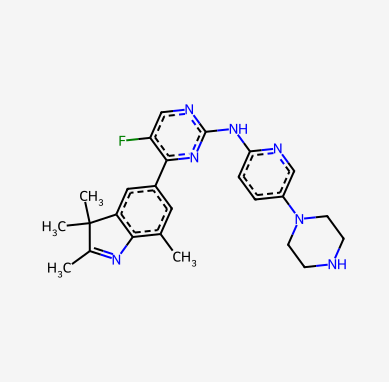 CC1=Nc2c(C)cc(-c3nc(Nc4ccc(N5CCNCC5)cn4)ncc3F)cc2C1(C)C